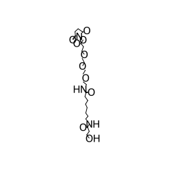 O=C(CCO)NCCCCCCCC(=O)NCCOCCOCCOCCC(=O)ON1C(=O)CCC1=O